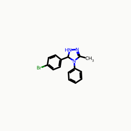 CC1=NNC(c2ccc(Br)cc2)N1c1ccccc1